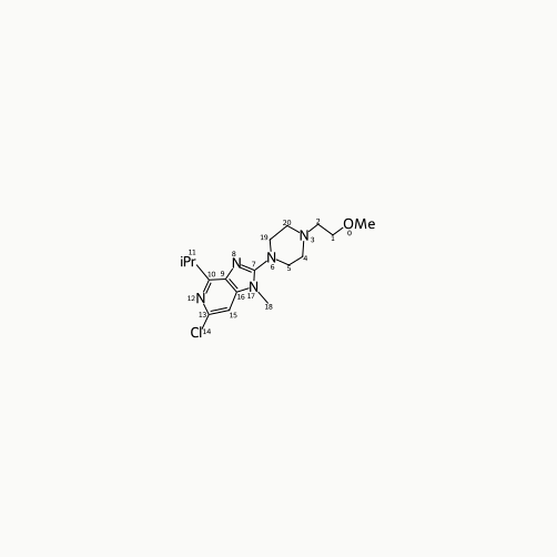 COCCN1CCN(c2nc3c(C(C)C)nc(Cl)cc3n2C)CC1